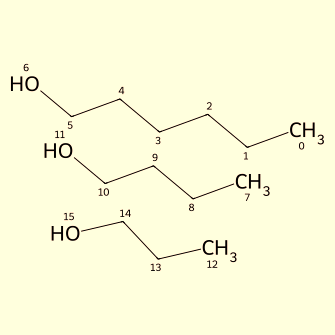 CCCCCCO.CCCCO.CCCO